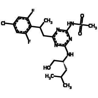 CC(C)C[C@H](CO)Nc1nc(CC(C)c2c(F)cc(Cl)cc2F)nc(NS(C)(=O)=O)n1